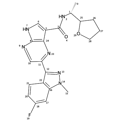 C[C@@H](NC(=O)c1c[nH]c2ncc(-c3nn(C)c4cc(F)ccc34)nc12)C1CCCO1